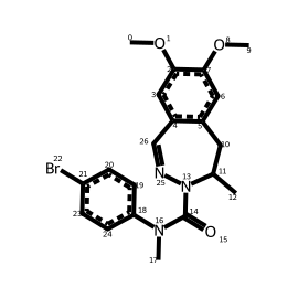 COc1cc2c(cc1OC)CC(C)N(C(=O)N(C)c1ccc(Br)cc1)N=C2